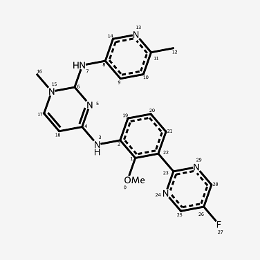 COc1c(NC2=NC(Nc3ccc(C)nc3)N(C)C=C2)cccc1-c1ncc(F)cn1